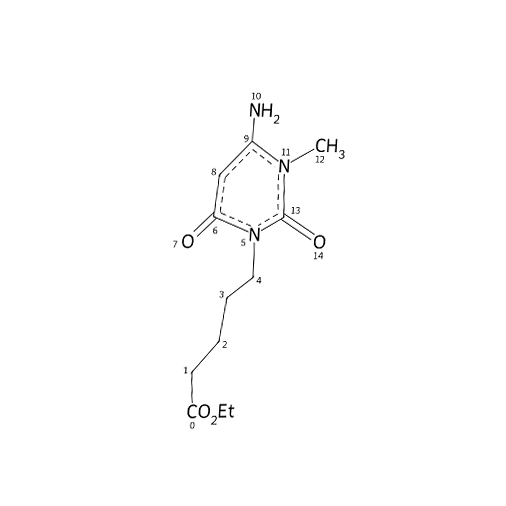 CCOC(=O)CCCCn1c(=O)cc(N)n(C)c1=O